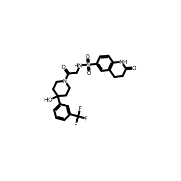 O=C1CCc2cc(S(=O)(=O)NCC(=O)N3CCC(O)(c4cccc(C(F)(F)F)c4)CC3)ccc2N1